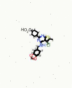 Cc1sc2nc(C3CCC(C(=O)O)CC3)nc(NCc3ccc4c(c3)OCO4)c2c1Cl